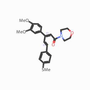 COc1ccc(C(/C=C/c2ccc(SC)cc2)=C/C(=O)N2CCOCC2)cc1OC